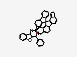 c1ccc(-c2nc(-c3ccc4c(c3)C3(c5ccccc5-4)c4c(ccc5ccccc45)-c4ccc5ccccc5c43)nc3c2oc2ccccc23)cc1